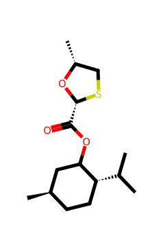 CC(C)[C@@H]1CC[C@@H](C)CC1OC(=O)[C@@H]1O[C@H](C)CS1